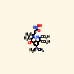 CC(/C=C/C(=O)NO)=C\[C@@H](C)C(=O)c1cc(C(C(=O)O)C(N)C(=O)O)cc(N(C)C)c1